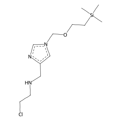 C[Si](C)(C)CCOCn1cnc(CNCCCl)c1